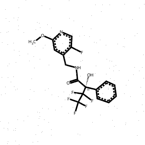 COc1cc(CNC(=O)[C@@](O)(c2ccccc2)C(F)(F)C(F)(F)F)c(F)cn1